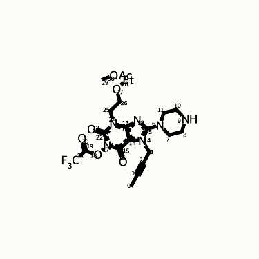 CC#CCn1c(N2CCNCC2)nc2c1c(=O)n(OC(=O)C(F)(F)F)c(=O)n2CCOCC.COC(C)=O